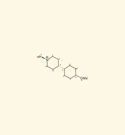 CCC[Si@H]1CC[C@H](C2CCC(OC)CC2)CC1